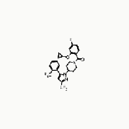 O=C(c1ccc(F)cc1OC1CC1)N1CCC(n2nc(C(F)(F)F)cc2-c2ccccc2C(F)(F)F)CC1